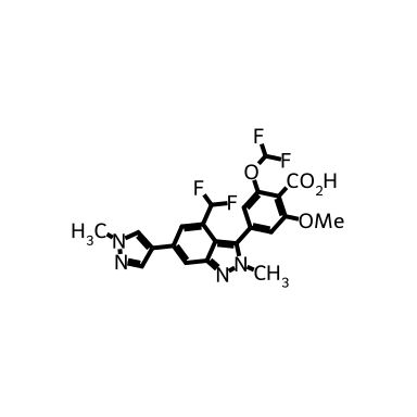 COc1cc(-c2c3c(C(F)F)cc(-c4cnn(C)c4)cc3nn2C)cc(OC(F)F)c1C(=O)O